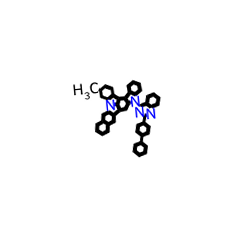 CC1C=Cc2c(n3c4cc5ccccc5cc4c4cc5c(c6ccccc6n5-c5nc(-c6ccc(-c7ccccc7)cc6)nc6ccccc56)c2c43)C1